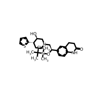 CC(C)(C)[Si](C)(C)O[C@@H](CN1CC[C@H](c2cccs2)[C@@H](O)C1)c1ccc2c(c1)CCC(=O)N2